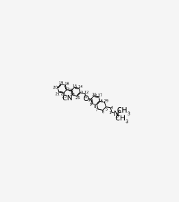 CN(C)CCC1CCc2cc(OCc3ccc(-c4ccccc4C#N)cc3)ccc2C1